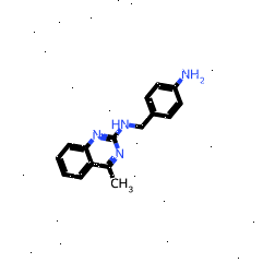 Cc1nc(NCc2ccc(N)cc2)nc2ccccc12